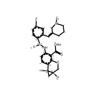 CCN1CCCC(=Cc2cc(F)ccc2[S+]([O-])Nc2ccc3c(c2C(=O)OC)OC[C@@H]2C[C@H]32)C1